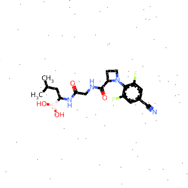 CC(C)CC(NC(=O)CNC(=O)C1CCN1c1c(F)cc(C#N)cc1F)B(O)O